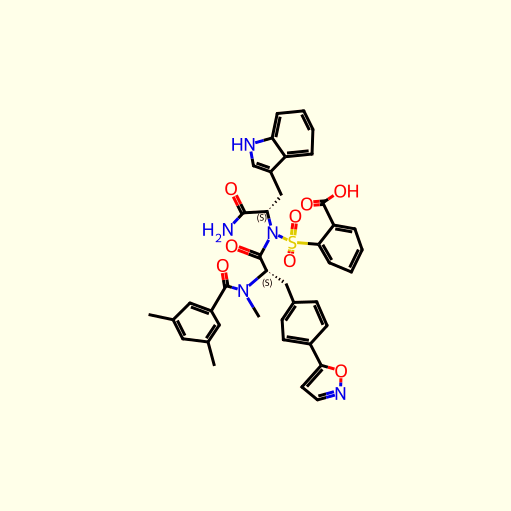 Cc1cc(C)cc(C(=O)N(C)[C@@H](Cc2ccc(-c3ccno3)cc2)C(=O)N([C@@H](Cc2c[nH]c3ccccc23)C(N)=O)S(=O)(=O)c2ccccc2C(=O)O)c1